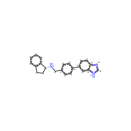 c1ccc2c(c1)CC[C@H]2NCc1ccc(-c2ccc3nc[nH]c3c2)cc1